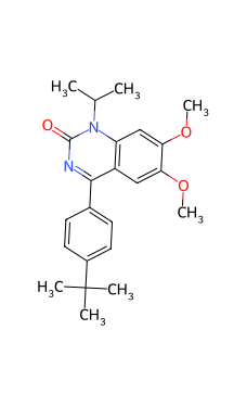 COc1cc2c(-c3ccc(C(C)(C)C)cc3)nc(=O)n(C(C)C)c2cc1OC